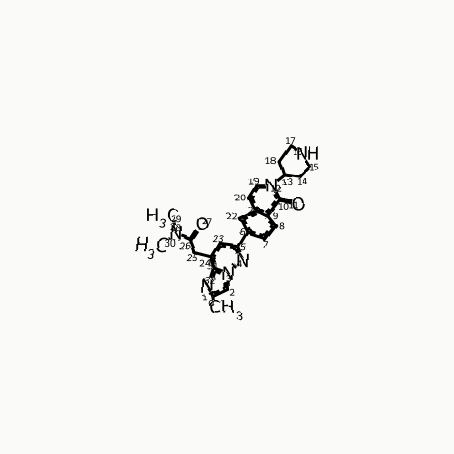 Cc1cn2nc(-c3ccc4c(=O)n(C5CCNCC5)ccc4c3)cc(CC(=O)N(C)C)c2n1